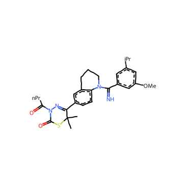 CCCC(=O)N1N=C(c2ccc3c(c2)CCCN3C(=N)c2cc(OC)cc(C(C)C)c2)C(C)(C)SC1=O